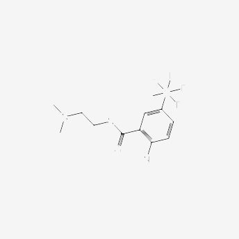 CN(C)CCNC(=O)c1cc(S(F)(F)(F)(F)F)ccc1N